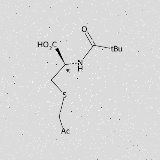 CC(=O)CSC[C@H](NC(=O)C(C)(C)C)C(=O)O